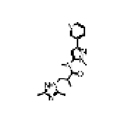 Cc1nc(C)n(CC(C)C(=O)N(C)c2cc(-c3cccnc3)nn2C)n1